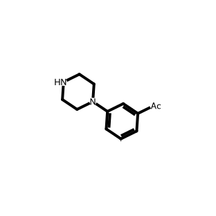 CC(=O)c1c[c]cc(N2CCNCC2)c1